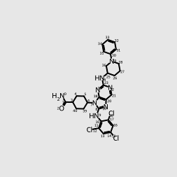 NC(=O)C1CCC(n2c(Nc3c(Cl)cc(Cl)cc3Cl)nc3cnc(NC4CCCN(c5ccccc5)C4)nc32)CC1